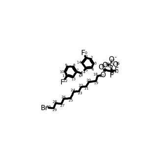 Fc1cccc([I+]c2cccc(F)c2)c1.O=C(OCCCCCCCCCCCCBr)C(F)(F)S(=O)(=O)[O-]